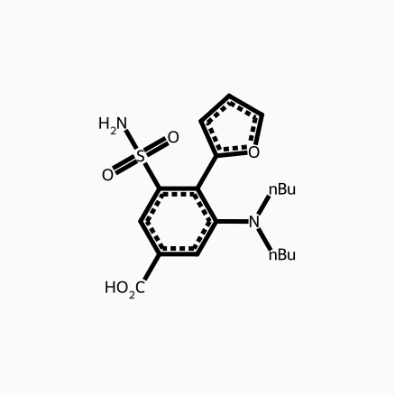 CCCCN(CCCC)c1cc(C(=O)O)cc(S(N)(=O)=O)c1-c1ccco1